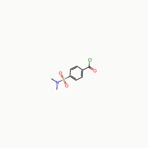 CN(C)S(=O)(=O)c1ccc(C(=O)Cl)cc1